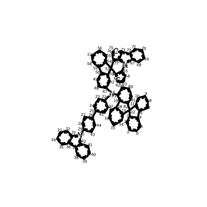 c1ccc2c(c1)-c1ccccc1C21c2ccccc2-c2c(N(c3ccc(-c4ccc(-n5c6ccccc6c6ccccc65)cc4)cc3)c3ccc4c(c3)C3(c5ccccc5-4)c4ccccc4-n4c5ccccc5c5cccc3c54)cccc21